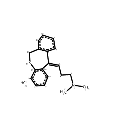 CN(C)CC/C=C1/c2ccccc2CSc2ccccc21.Cl